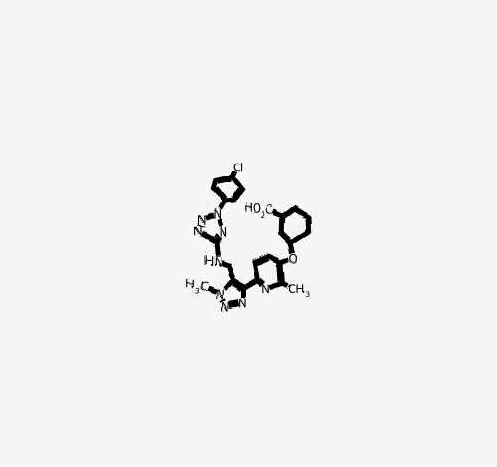 Cc1nc(-c2nnn(C)c2CNc2nnn(-c3ccc(Cl)cc3)n2)ccc1OC1CCCC(C(=O)O)C1